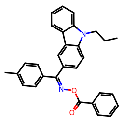 CCCn1c2ccccc2c2cc(/C(=N\OC(=O)c3ccccc3)c3ccc(C)cc3)ccc21